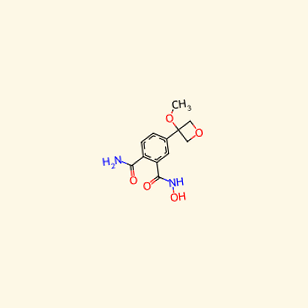 COC1(c2ccc(C(N)=O)c(C(=O)NO)c2)COC1